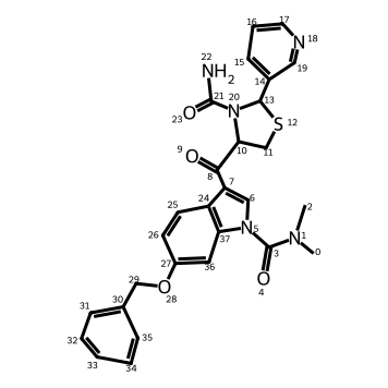 CN(C)C(=O)n1cc(C(=O)C2CSC(c3cccnc3)N2C(N)=O)c2ccc(OCc3ccccc3)cc21